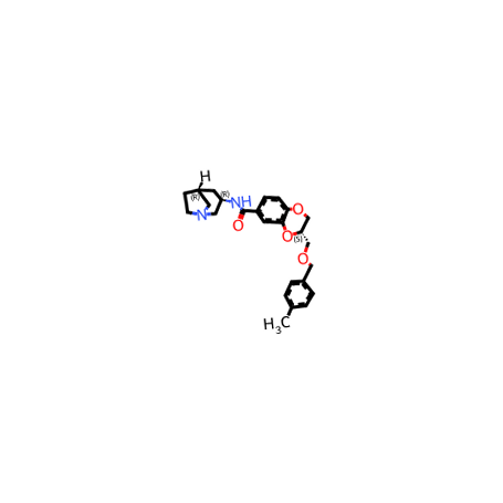 Cc1ccc(COC[C@H]2COc3ccc(C(=O)N[C@@H]4C[C@H]5CCN(C5)C4)cc3O2)cc1